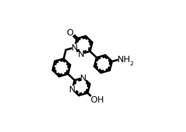 Nc1cccc(-c2ccc(=O)n(Cc3cccc(-c4ncc(O)cn4)c3)n2)c1